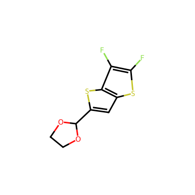 Fc1sc2cc(C3OCCO3)sc2c1F